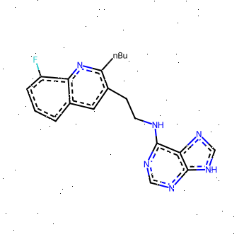 CCCCc1nc2c(F)cccc2cc1CCNc1ncnc2[nH]cnc12